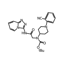 CC(C)(C)OC(=O)N(CC(=O)Nc1nnc2ccccn12)C1CCN(c2ccccc2C#N)CC1